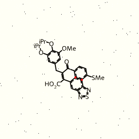 COc1cc(C/C(C(=O)c2ccc(SC)cc2)=C(\C(=O)O)c2ccc3nsnc3c2)cc(OC(C)C)c1OC(C)C